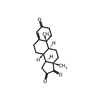 C[C@]12CCC(=O)C=C1CC[C@@H]1[C@@H]2CC[C@]2(C)C(=O)C(=O)C[C@@H]12